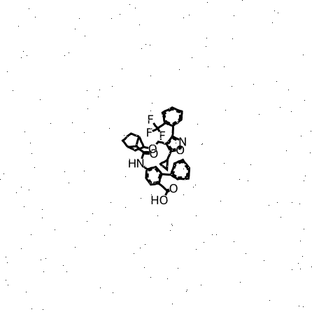 O=C(O)c1ccc(NC(=O)C2C3CCC2C(OCc2c(-c4ccccc4C(F)(F)F)noc2C2CC2)C3)cc1-c1ccccc1